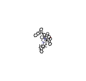 CCC1/C(c2ccc3c(c2)sc2ccccc23)=C/CC(C)/C(c2cc(-n3c4ccccc4c4cc5ccccc5cc43)cc3oc4ccccc4c23)=N\C1n1c2ccccc2c2ccccc21